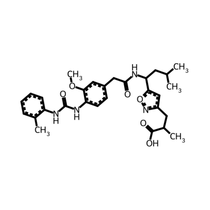 COc1cc(CC(=O)NC(CC(C)C)c2cc(CC(C)C(=O)O)no2)ccc1NC(=O)Nc1ccccc1C